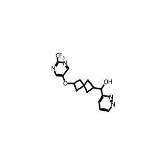 OC(c1cccnn1)C1CC2(CC(Oc3cnc(C(F)(F)F)nc3)C2)C1